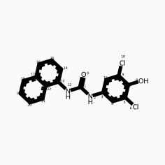 O=C(Nc1cc(Cl)c(O)c(Cl)c1)Nc1cccc2ccccc12